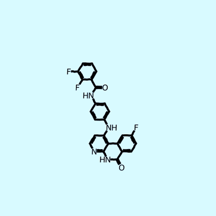 O=C(Nc1ccc(Nc2ccnc3[nH]c(=O)c4ccc(F)cc4c23)cc1)c1cccc(F)c1F